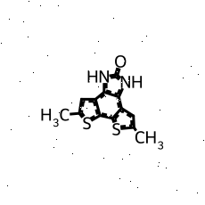 Cc1cc2c3[nH]c(=O)[nH]c3c3cc(C)sc3c2s1